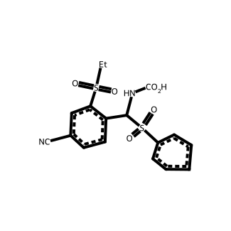 CCS(=O)(=O)c1cc(C#N)ccc1C(NC(=O)O)S(=O)(=O)c1ccccc1